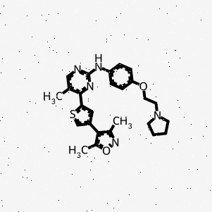 Cc1cnc(Nc2ccc(OCCN3CCCC3)cc2)nc1-c1cc(-c2c(C)noc2C)cs1